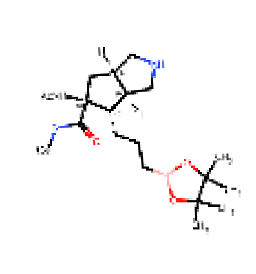 CC(=O)N[C@@]1(C(=O)NC(C)(C)C)C[C@H]2CNC[C@H]2[C@@H]1CCCB1OC(C)(C)C(C)(C)O1